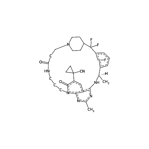 Cc1nc2c3cc(C4(C#N)CC4)c(=O)n(c3n1)CCCNC(=O)CCN1CCC(CC1)C(F)(F)c1cccc(c1F)[C@@H](C)N2